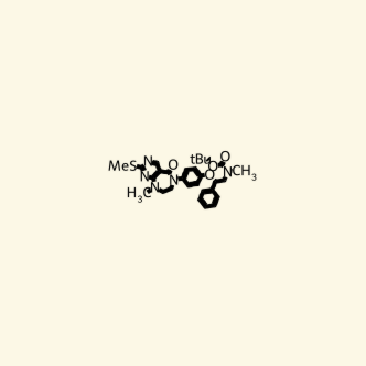 CSc1ncc2c(n1)N(C)CCN(c1ccc(OC(CN(C)C(=O)OC(C)(C)C)c3ccccc3)cc1)C2=O